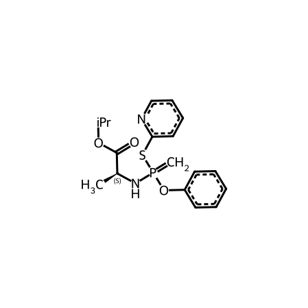 C=P(N[C@@H](C)C(=O)OC(C)C)(Oc1ccccc1)Sc1ccccn1